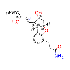 CCCCC[C@H](O)/C=C/[C@@H]1[C@H]2c3cccc(CCC(N)=O)c3O[C@H]2C[C@H]1O